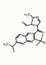 CC(F)c1ccc2cc(C(=O)C3C=NN(C)C3C=O)c(C(F)(F)F)nc2n1